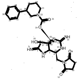 N=C1NC2[C@H](CN3C(=O)CCC3=O)NC(=N)N3C[C@H](OC(=O)N4CCCC(c5ccccc5)C4)C(O)C23N1